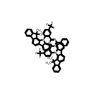 CC1(C)c2ccccc2-c2ccc3c4ccccc4n(-c4ccc(C(F)(F)F)cc4-c4nc(-c5ccccc5)nc(-c5cc(C(F)(F)F)ccc5-n5c6ccccc6c6ccc7c(c65)C(C)(C)c5ccccc5-7)n4)c3c21